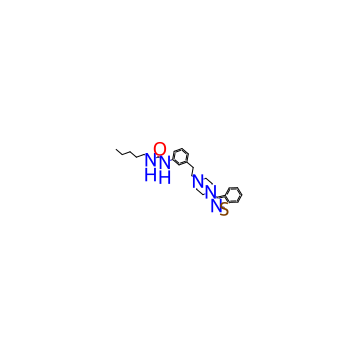 CCCCCNC(=O)Nc1cccc(CCN2CCN(c3nsc4ccccc34)CC2)c1